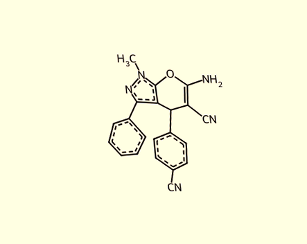 Cn1nc(-c2ccccc2)c2c1OC(N)=C(C#N)C2c1ccc(C#N)cc1